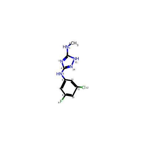 CNc1nc(Nc2cc(F)cc(Cl)c2)n[nH]1